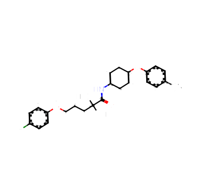 CC(C)(CCCOc1ccc(F)cc1)C(=O)NC1CCC(Oc2ccc(C#N)cc2)CC1